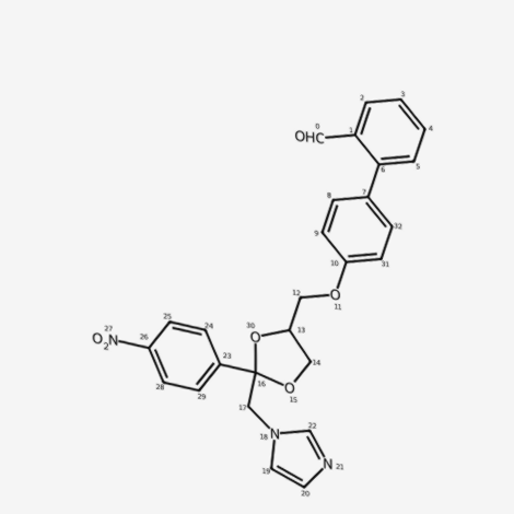 O=Cc1ccccc1-c1ccc(OCC2COC(Cn3ccnc3)(c3ccc([N+](=O)[O-])cc3)O2)cc1